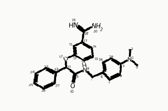 CN(C)c1ccc(CNC(=O)C(Oc2cccc(C(=N)N)c2)c2ccccc2)cc1